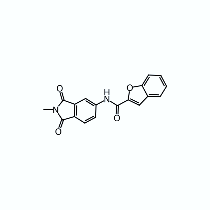 CN1C(=O)c2ccc(NC(=O)c3cc4ccccc4o3)cc2C1=O